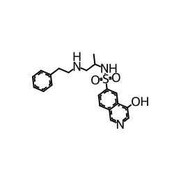 CC(CNCCc1ccccc1)NS(=O)(=O)c1ccc2cncc(O)c2c1